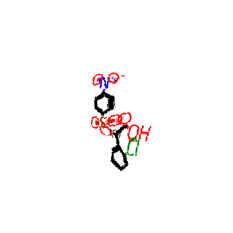 O=C(O)[C@H](OS(=O)(=O)c1ccc([N+](=O)[O-])cc1)c1ccccc1Cl